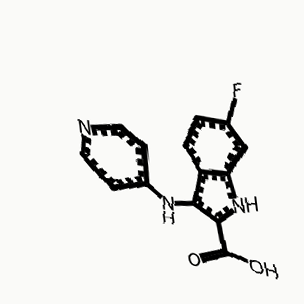 O=C(O)c1[nH]c2cc(F)ccc2c1Nc1ccncc1